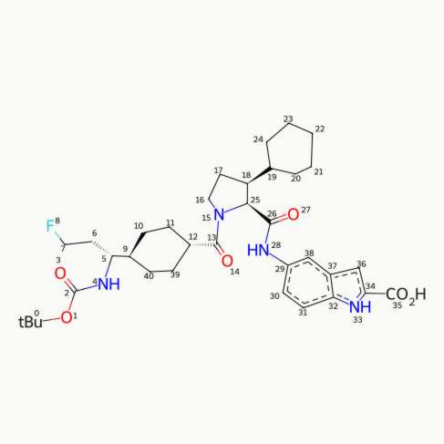 CC(C)(C)OC(=O)N[C@H](CCF)[C@H]1CC[C@H](C(=O)N2CC[C@@H](C3CCCCC3)[C@H]2C(=O)Nc2ccc3[nH]c(C(=O)O)cc3c2)CC1